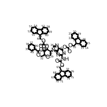 O=C(Nc1nc(OC(=O)OCC2c3ccccc3-c3ccccc32)c2ncn(C3COC4COC(c5ccccc5)O[C@@H]4C3OC(=O)OCC3c4ccccc4-c4ccccc43)c2n1)OCC1c2ccccc2-c2ccccc21